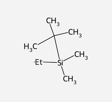 C[CH][Si](C)(C)C(C)(C)C